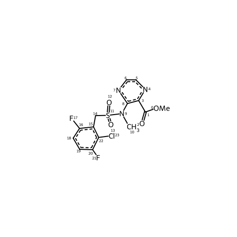 COC(=O)c1nccnc1N(C)S(=O)(=O)Cc1c(F)ccc(F)c1Cl